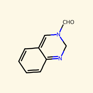 O=CN1C=c2ccccc2=NC1